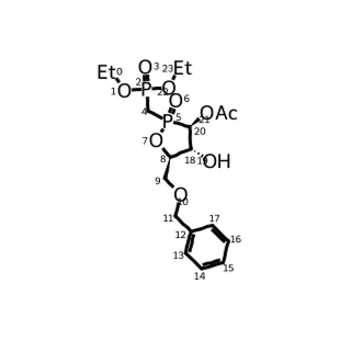 CCOP(=O)(CP1(=O)O[C@H](COCc2ccccc2)[C@@H](O)[C@@H]1OC(C)=O)OCC